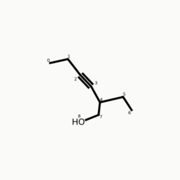 CCC#CC(CC)CO